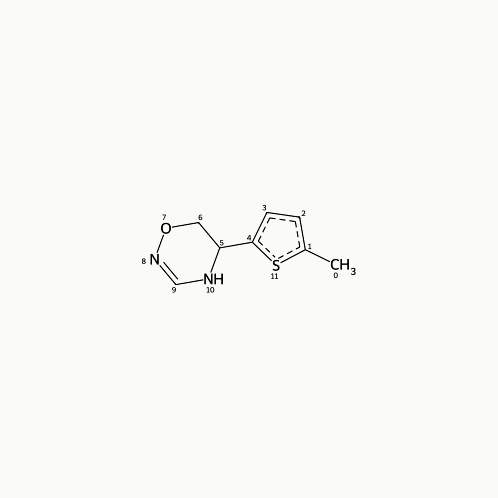 Cc1ccc(C2CON=CN2)s1